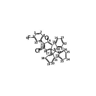 Fc1ccc2oc3cc(C4(c5ccccc5)c5ccccc5-c5ccccc54)cc(Cl)c3c2c1